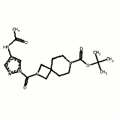 CC(=O)Nc1cnn(C(=O)N2CC3(CCN(C(=O)OC(C)(C)C)CC3)C2)c1